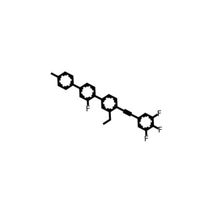 CCc1cc(-c2ccc(-c3ccc(C)cc3)cc2F)ccc1C#Cc1cc(F)c(F)c(F)c1